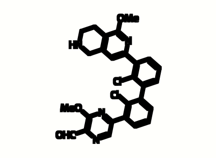 COc1nc(-c2cccc(-c3cccc(-c4cc5c(c(OC)n4)CCNC5)c3Cl)c2Cl)cnc1C=O